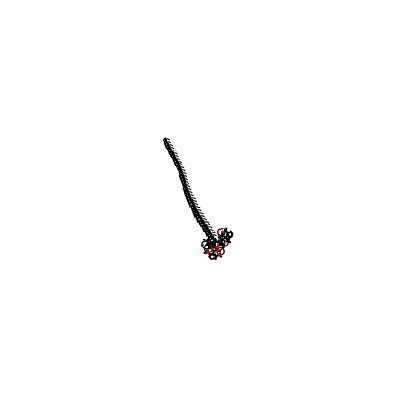 C=C=C=C=C=C=C=C=C=C=C=C=C=C=C=C=C=C=C=C=C=C=C=C=C=C=C=C=C=C=C=C=C=C=C=C(N(C(=O)C(=C)C)C1CC(=O)C(c2c(C(C)C)cccc2C(C)C)C1=O)N(C(=O)C(=C)C)C1CC(=O)N(c2c(C(C)C)cccc2C(C)C)C1=O